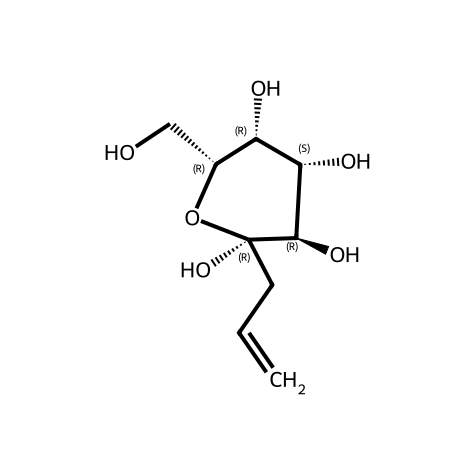 C=CC[C@@]1(O)O[C@H](CO)[C@H](O)[C@H](O)[C@H]1O